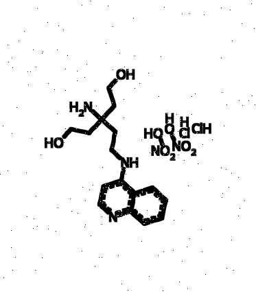 Cl.Cl.NC(CCO)(CCO)CCNc1ccnc2ccccc12.O=[N+]([O-])O.O=[N+]([O-])O